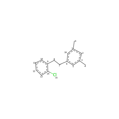 Cc1cc(C)cc([CH]Cc2ccccc2Cl)c1